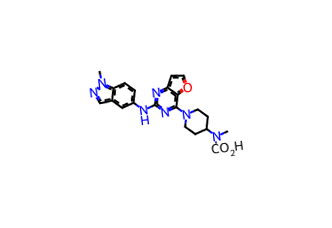 CN(C(=O)O)C1CCN(c2nc(Nc3ccc4c(cnn4C)c3)nc3ccoc23)CC1